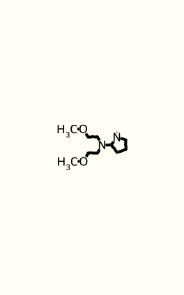 COCCN(CCOC)C1CCC[N]1